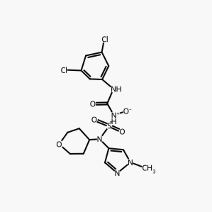 Cn1cc(N(C2CCOCC2)S(=O)(=O)[NH+]([O-])C(=O)Nc2cc(Cl)cc(Cl)c2)cn1